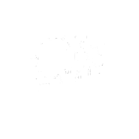 C#Cc1cccc(C2(NCC(O)C3Cc4cc(F)cc(c4)OCCCCN(C)Cc4cc(C)cc(c4)C(=O)N3)CC2)c1